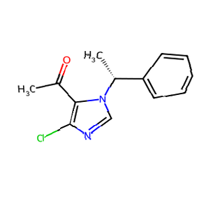 CC(=O)c1c(Cl)ncn1[C@H](C)c1ccccc1